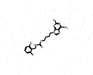 Nc1nc(Cl)nc2c1ncn2CCCCOC(=O)NCc1c(Cl)cccc1I